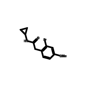 COc1ccc(CC(=O)NC2CC2)c(Br)c1